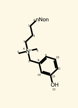 CCCCCCCCCCCC[N+](C)(C)Cc1cccc(O)c1